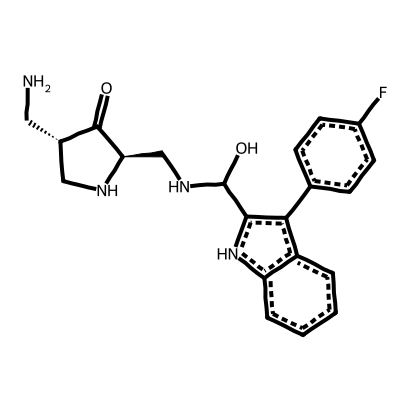 NC[C@H]1CN[C@H](CNC(O)c2[nH]c3ccccc3c2-c2ccc(F)cc2)C1=O